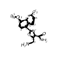 CCC(C)Oc1ccc(-c2nc(C(N)=O)c(CN)o2)c2ccc(C(F)(F)F)nc12